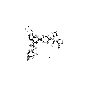 O=C(C1CCCN1)N(C1CCC1)C1CCN(c2nc(NCc3ccc(F)cc3Cl)c3cnn(CC(F)(F)F)c3n2)CC1